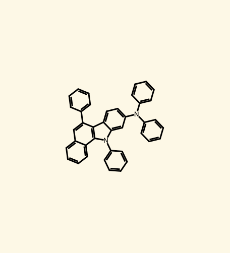 c1ccc(-c2cc3ccccc3c3c2c2ccc(N(c4ccccc4)c4ccccc4)cc2n3-c2ccccc2)cc1